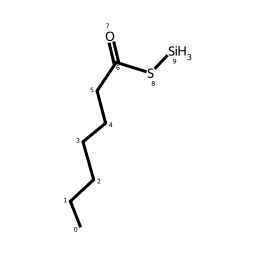 CCCCCCC(=O)S[SiH3]